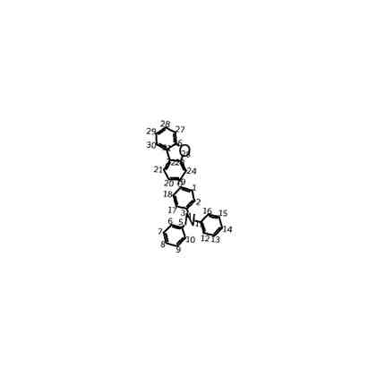 c1ccc(N(c2ccccc2)c2ccccc2)cc1.c1ccc2c(c1)oc1ccccc12